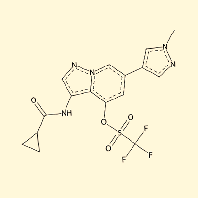 Cn1cc(-c2cc(OS(=O)(=O)C(F)(F)F)c3c(NC(=O)C4CC4)cnn3c2)cn1